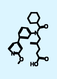 C=C(CCC(=O)O)CN(C(=O)C1CCCCC1)c1cccc(-c2ccnc(OC)c2)c1